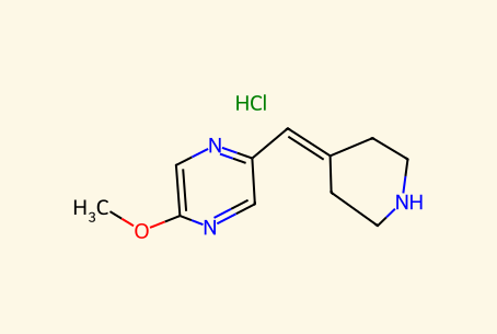 COc1cnc(C=C2CCNCC2)cn1.Cl